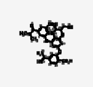 CN(C)C(=O)c1cc(Oc2nc(Oc3cc(C(=N)N)ccc3C(=O)O)nc3c2NC(=O)C(CO)O3)cc(C(=O)O)c1